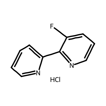 Cl.Fc1cccnc1-c1ccccn1